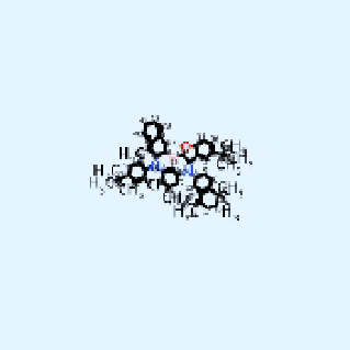 Cc1cc2c3c(c1)N(c1ccc4c(c1)C(C)(C)CCC4(C)C)C1c4cc(C(C)(C)C)ccc4OC1B3c1cc3ccccc3cc1N2c1c(C)cc(C(C)(C)C)cc1C